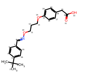 CC(C)(C)c1ccc(C=NOCCCOc2ccc(CC(=O)O)cc2)cc1